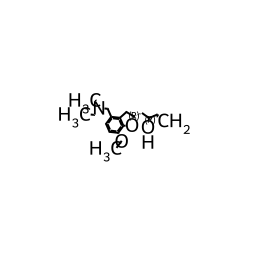 C=C[C@H](O)C[C@H]1Cc2c(CN(C)CC)ccc(OC)c2O1